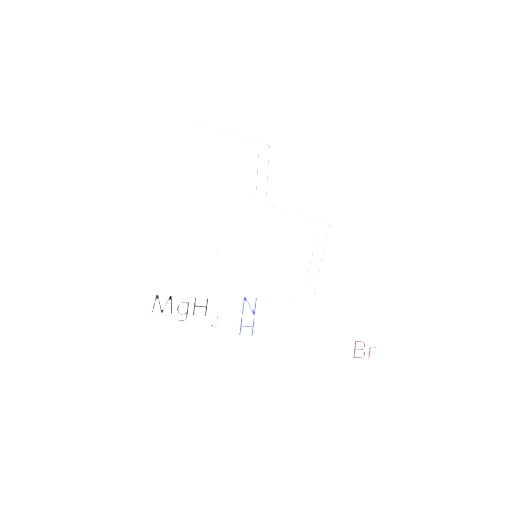 Brc1cc2ccccc2[nH]1.[MgH2]